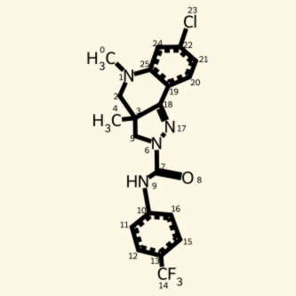 CN1CC2(C)CN(C(=O)Nc3ccc(C(F)(F)F)cc3)N=C2c2ccc(Cl)cc21